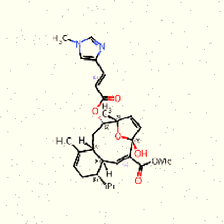 COC(=O)/C1=C/[C@@H]2[C@@H](C(C)C)CC=C(C)[C@@H]2C[C@H](OC(=O)/C=C/c2cn(C)cn2)[C@]2(C)C=C[C@@]1(O)O2